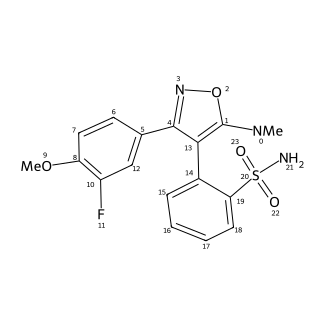 CNc1onc(-c2ccc(OC)c(F)c2)c1-c1ccccc1S(N)(=O)=O